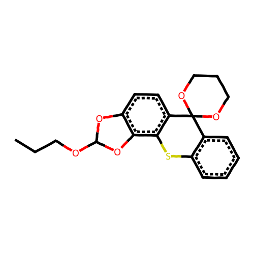 CCCOC1Oc2ccc3c(c2O1)Sc1ccccc1C31OCCCO1